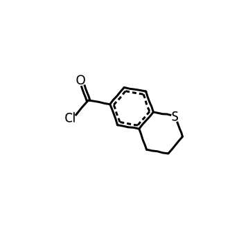 O=C(Cl)c1ccc2c(c1)CCCS2